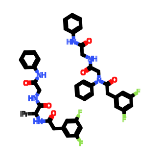 CC(C)C(NC(=O)Cc1cc(F)cc(F)c1)C(=O)NCC(=O)Nc1ccccc1.O=C(CN(C(=O)Cc1cc(F)cc(F)c1)c1ccccc1)NCC(=O)Nc1ccccc1